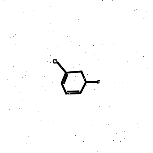 FC1C=CC=C(Cl)C1